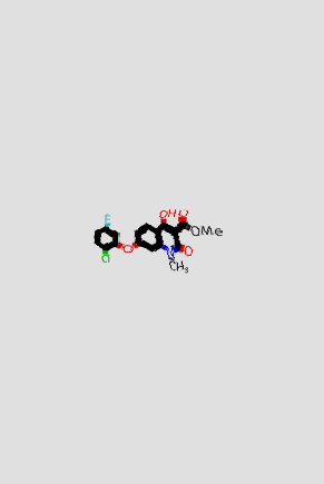 COC(=O)c1c(O)c2ccc(Oc3cc(F)ccc3Cl)cc2n(C)c1=O